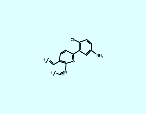 C=Cc1ccc(-c2cc(N)ccc2Cl)nc1/N=C\C